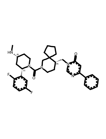 CN[C@@H]1CCN(C(=O)N2CC[C@@H](Cn3cnc(-c4ccccc4)cc3=O)C3(CCCC3)C2)[C@H](c2cc(F)ccc2F)C1